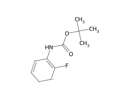 CC(C)(C)OC(=O)NC1=C(F)[CH]CC=C1